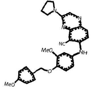 COc1ccc(COc2ccc(Nc3ccc4ncc(N5CCCC5)nc4c3C#N)cc2OC)cc1